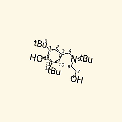 CC(C)(C)c1cc(CN(CCO)C(C)(C)C)cc(C(C)(C)C)c1O